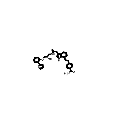 C=C(Cc1c[nH]c2c(CCc3ccc(C(N)=O)cc3)cccc12)NC[C@H](O)COc1ccccc1-c1cccs1